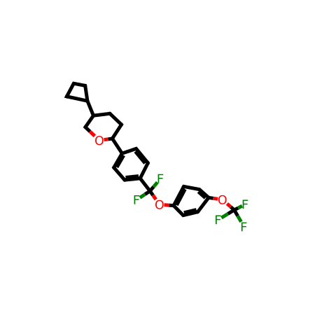 FC(F)(F)Oc1ccc(OC(F)(F)c2ccc(C3CCC(C4CCC4)CO3)cc2)cc1